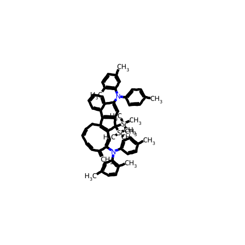 C=C1/C=C\C=C/CC2=C(/C=C\1N(c1ccc(C)cc1)c1cc(C)ccc1C)C([Si](C)(C)C)([Si](C)(C)C)c1cc(N(c3ccc(C)cc3)c3cc(C)ccc3C)c3ccccc3c12